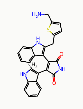 Cc1[nH]c2ccccc2c1C1=C(c2c(Cc3ccc(CN)s3)[nH]c3ccccc23)C(=O)NC1=O